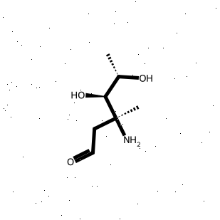 C[C@H](O)[C@H](O)[C@@](C)(N)CC=O